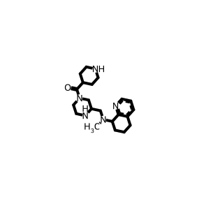 CN(CC1CN(C(=O)C2CCNCC2)CCN1)C1CCCc2cccnc21